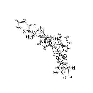 C[C@H](NC(=O)N[C@H]1CC[C@H](CCN2[C@@H]3CC[C@H]2CC(OC(=O)C(CO)c2ccccc2)C3)CC1)C(O)(c1ccccc1)c1ccccc1